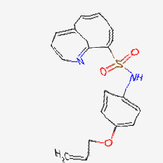 C=CCOc1ccc(NS(=O)(=O)c2cccc3cccnc23)cc1